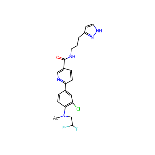 CC(=O)N(CC(F)F)c1ccc(-c2ccc(C(=O)NCCCc3cc[nH]n3)cn2)cc1Cl